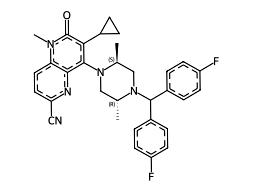 C[C@@H]1CN(c2c(C3CC3)c(=O)n(C)c3ccc(C#N)nc23)[C@@H](C)CN1C(c1ccc(F)cc1)c1ccc(F)cc1